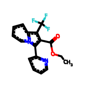 CCOC(=O)c1c(C(F)(F)F)c2ccccn2c1-c1ccccn1